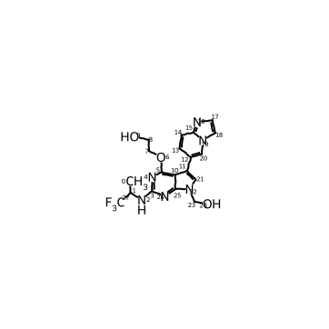 CC(Nc1nc(OCCO)c2c(-c3ccc4nccn4c3)cn(CO)c2n1)C(F)(F)F